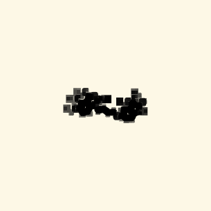 CC(=O)c1c([N+](=CCCCOc2ccc3c(c2)C(C)(C)C(=O)N3)OS)ccc(C)c1C